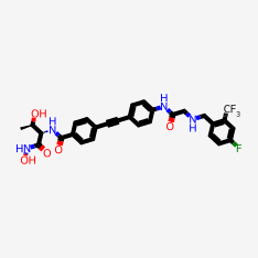 C[C@@H](O)[C@H](NC(=O)c1ccc(C#Cc2ccc(NC(=O)CNCc3ccc(F)cc3C(F)(F)F)cc2)cc1)C(=O)NO